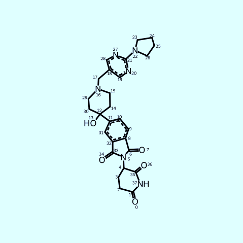 O=C1CCC(N2C(=O)c3ccc(C4(O)CCN(Cc5cnc(N6CCCC6)nc5)CC4)cc3C2=O)C(=O)N1